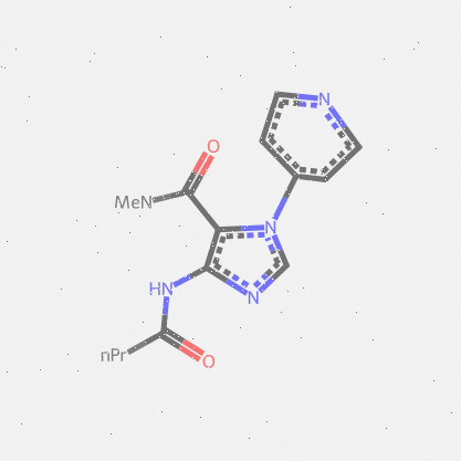 CCCC(=O)Nc1ncn(-c2ccncc2)c1C(=O)NC